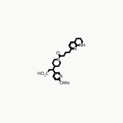 COc1ccc(C(CC(=O)O)C2CCN(C(=O)CCCc3ccc4c(n3)NCCC4)CC2)cn1